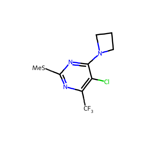 CSc1nc(N2CCC2)c(Cl)c(C(F)(F)F)n1